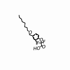 CCCCCCCCOCc1ccc(OC(F)(F)C(=O)O)c(I)c1